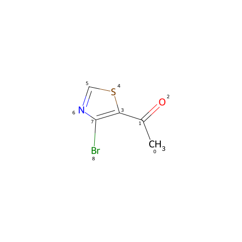 CC(=O)c1scnc1Br